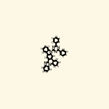 c1ccc(-c2nc(-c3ccccc3)nc(-n3c4ccccc4c4cc5c(cc43)c3ccccc3n3c4ccccc4nc53)n2)cc1